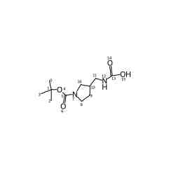 CC(C)(C)OC(=O)N1CCC(CNC(=O)O)C1